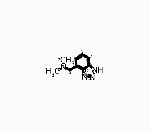 CN(C)Cc1cccc2[nH]nnc12